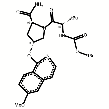 COc1ccc2c(O[C@@H]3C[C@@H](C(N)=O)N(C(=O)[C@@H](NC(=O)OC(C)(C)C)C(C)(C)C)C3)nccc2c1